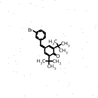 CC(C)(C)C1=CC(=Cc2cccc(Br)c2)C=C(C(C)(C)C)C1=O